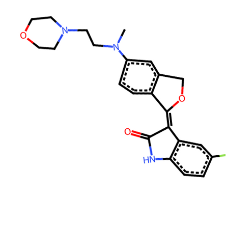 CN(CCN1CCOCC1)c1ccc2c(c1)COC2=C1C(=O)Nc2ccc(F)cc21